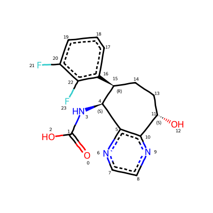 O=C(O)N[C@@H]1c2nccnc2[C@@H](O)CC[C@@H]1c1cccc(F)c1F